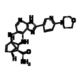 NC(=O)[C@@H]1[C@H](Nc2c(Br)cnc3[nH]c(-c4ccc(N5CCOCC5)nc4)nc23)[C@H]2C=C[C@@H]1C2